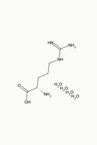 N=C(N)NCCC[C@H](N)C(=O)O.O.O.O.O